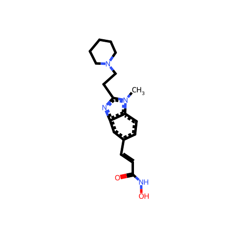 Cn1c(CCN2CCCCC2)nc2cc(/C=C/C(=O)NO)ccc21